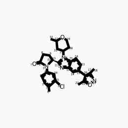 Cc1ccc(N2C(=O)CC[C@H]2c2nc3cc(-c4c(C)noc4C)ccc3n2C2CCOC(C)C2)cc1Cl